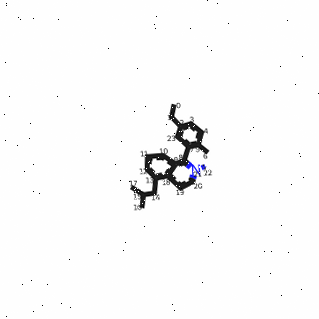 CCc1ccc(C)c(-c2c3cccc(CC(C)C)c3cc[n+]2C)c1